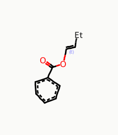 CC/C=C/OC(=O)c1ccccc1